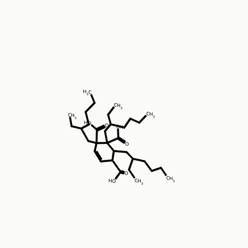 CCCCC(CC)CC1C(C(=O)O)C=CC(CC(CC)CCCC)(C(=O)O)C1(CC(CC)CCCC)C(=O)O